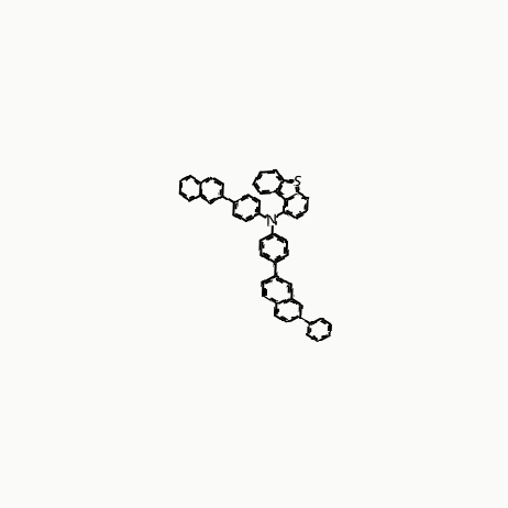 c1ccc(-c2ccc3ccc(-c4ccc(N(c5ccc(-c6ccc7ccccc7c6)cc5)c5cccc6sc7ccccc7c56)cc4)cc3c2)cc1